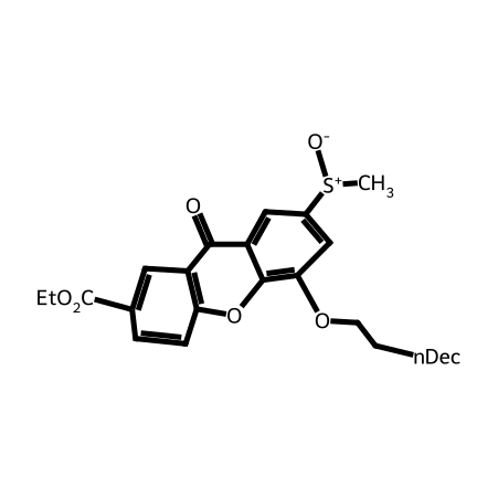 CCCCCCCCCCCCOc1cc([S+](C)[O-])cc2c(=O)c3cc(C(=O)OCC)ccc3oc12